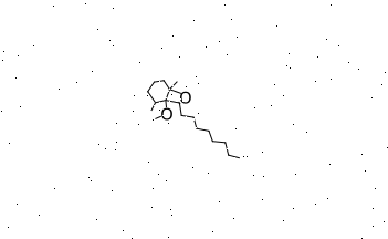 CCCCCCCCC(=O)C1(OC)C(C)CCCC1(C)C